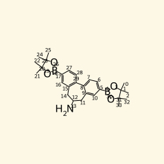 CC1(C)OB(c2ccc3c(c2)CC(N)Cc2cc(B4OC(C)(C)C(C)(C)O4)ccc2-3)OC1(C)C